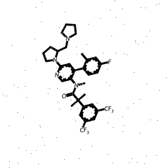 Cc1cc(F)ccc1-c1cc(N2CCCC2CN2CCCC2)ncc1N(C)C(=O)C(C)(C)c1cc(C(F)(F)F)cc(C(F)(F)F)c1